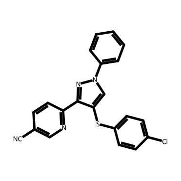 N#Cc1ccc(-c2nn(-c3ccccc3)cc2Sc2ccc(Cl)cc2)nc1